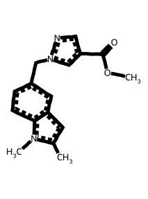 COC(=O)c1cnn(Cc2ccc3c(c2)cc(C)n3C)c1